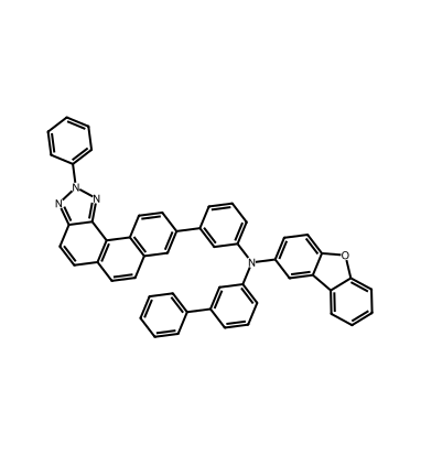 c1ccc(-c2cccc(N(c3cccc(-c4ccc5c(ccc6ccc7nn(-c8ccccc8)nc7c65)c4)c3)c3ccc4oc5ccccc5c4c3)c2)cc1